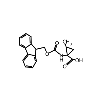 C[C@H]1C[C@]1(NC(=O)OCC1c2ccccc2-c2ccccc21)C(=O)O